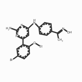 CCOc1ccc(Br)cc1-c1cc(Nc2ccc(C(C)=NO)cc2)nc(N)n1